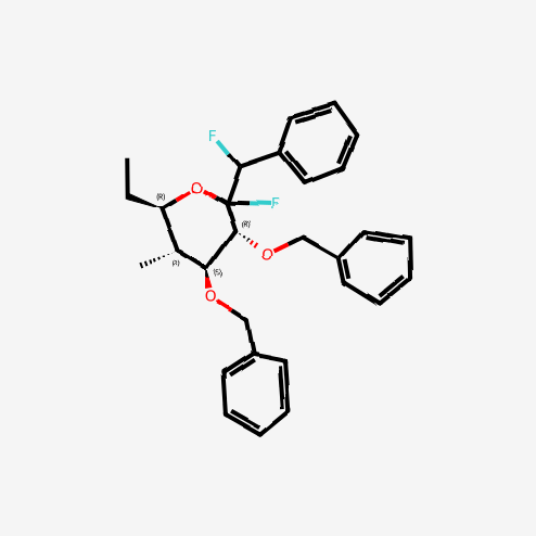 CC[C@H]1OC(F)(C(F)c2ccccc2)[C@H](OCc2ccccc2)[C@@H](OCc2ccccc2)[C@@H]1C